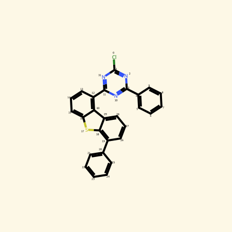 Clc1nc(-c2ccccc2)nc(-c2cccc3sc4c(-c5ccccc5)cccc4c23)n1